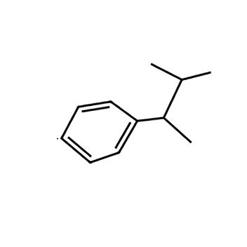 CC(C)C(C)c1cc[c]cc1